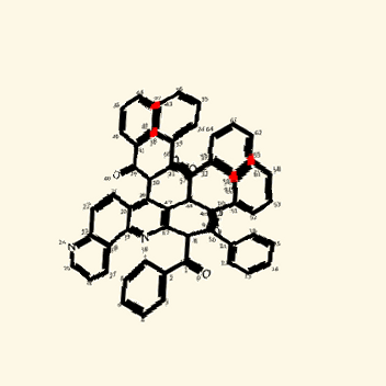 O=C(c1ccccc1)C(C(=O)c1ccccc1)c1nc2c(ccc3ncccc32)c(C(C(=O)c2ccccc2)C(=O)c2ccccc2)c1C(C(=O)c1ccccc1)C(=O)c1ccccc1